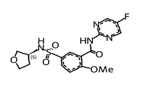 COc1ccc(S(=O)(=O)N[C@H]2CCOC2)cc1C(=O)Nc1ncc(F)cn1